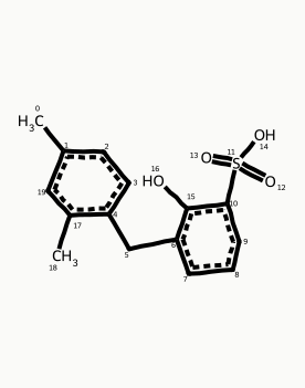 Cc1ccc(Cc2cccc(S(=O)(=O)O)c2O)c(C)c1